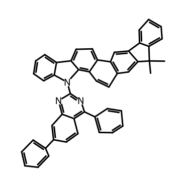 CC1(C)c2ccccc2-c2cc3c(ccc4c3ccc3c5ccccc5n(-c5nc(-c6ccccc6)c6ccc(-c7ccccc7)cc6n5)c43)cc21